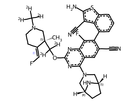 [2H]C([2H])([2H])N1CC/C(=C\F)[C@](C)(C([2H])([2H])Oc2nc(N3C[C@H]4CC[C@@H](C3)N4)c3cc(C#N)c(-c4cccc5sc(N)c(C#N)c45)c(F)c3n2)C1